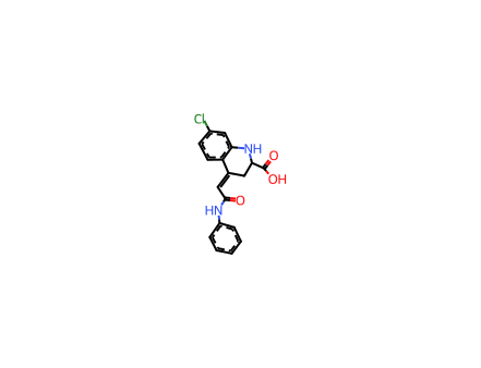 O=C(C=C1CC(C(=O)O)Nc2cc(Cl)ccc21)Nc1ccccc1